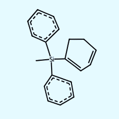 C[Si](C1=CC=CCC1)(c1ccccc1)c1ccccc1